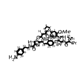 CC[C@H](C)[C@@H]([C@@H](CC(=O)N1CCC[C@H]1[C@H](OC)[C@@H](C)C(=O)N[C@@H](Cc1ccccc1)c1nc(C(=O)NCCc2ccc(N)cc2)cs1)OC)N(C)C(=O)[C@@H](NC(=O)[C@H](C(C)C)N(C)C)C(C)C